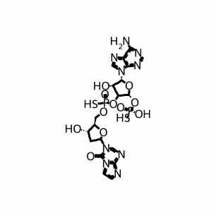 Nc1ncnc2c1ncn2[C@@H]1O[C@H](OP(=O)(O)S)C(OP(=O)(S)OC[C@H]2OC(n3cnc4nccn4c3=O)C[C@@H]2O)[C@@H]1O